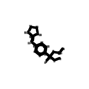 CCC(I)(COC)c1ccc(N=C2SCCS2)cc1